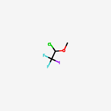 COC(Cl)C(F)(F)I